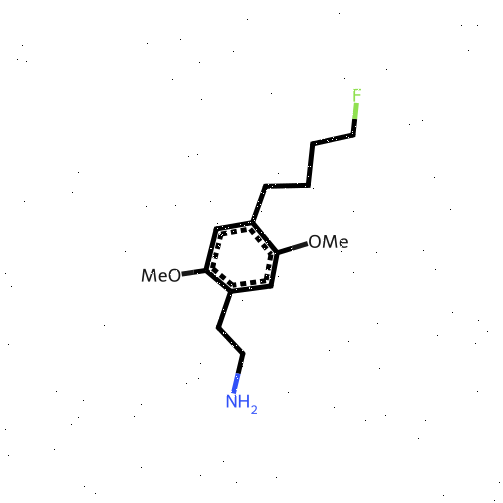 COc1cc(CCCCF)c(OC)cc1CCN